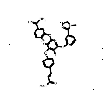 COC(=O)/C=C/c1ccc(Oc2c(F)c(Oc3cccc(C4=NCCN4C)c3)nc(Oc3cc(C(=N)N)ccc3O)c2F)cc1